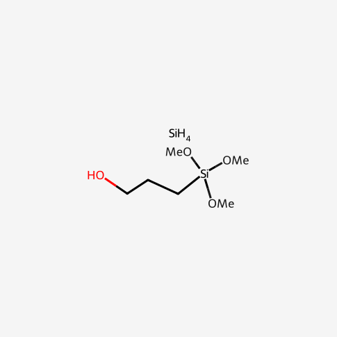 CO[Si](CCCO)(OC)OC.[SiH4]